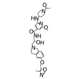 COc1cc(C(=O)NCC(O)CN2CCc3cc(OCc4ocnc4C)ccc3C2)cc(NC2CCN(C(C)=O)CC2)n1